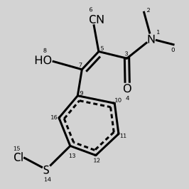 CN(C)C(=O)C(C#N)=C(O)c1cccc(SCl)c1